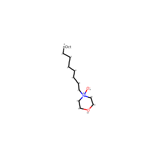 CCCCCCCCCCCCCCC[N+]1([O-])CCOCC1